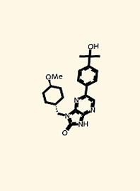 CO[C@H]1CC[C@H](Cn2c(=O)[nH]c3ncc(-c4ccc(C(C)(C)O)cc4)nc32)CC1